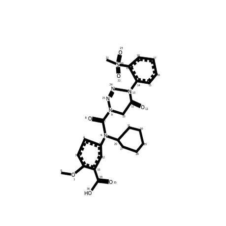 COc1ccc(N(C(=O)N2CC(=O)N(c3ccccc3S(C)(=O)=O)N=N2)C2CCCCC2)cc1C(=O)O